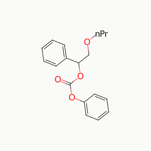 CCCOCC(OC(=O)Oc1ccccc1)c1ccccc1